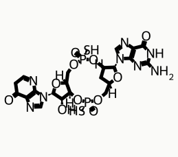 Nc1nc2c(ncn2[C@@H]2O[C@@H]3CO[P@@](=O)(S)O[C@H]4[C@@H](O)[C@H](n5cnc6c5N=CCC6=O)O[C@@H]4CO[P@@](=O)(S)O[C@@H]2C3)c(=O)[nH]1